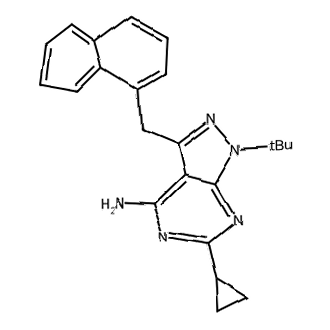 CC(C)(C)n1nc(Cc2cccc3ccccc23)c2c(N)nc(C3CC3)nc21